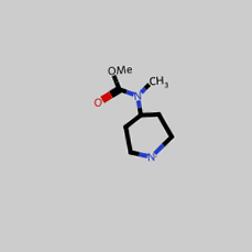 COC(=O)N(C)C1CC[N]CC1